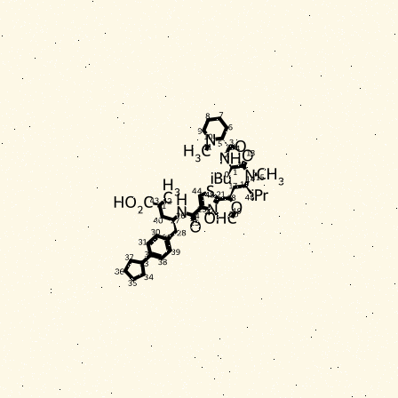 CC[C@H](C)[C@H](NC(=O)[C@H]1CCCCN1C)C(=O)N(C)[C@H](C[C@@H](OC=O)c1nc(C(=O)N[C@@H](Cc2ccc(C3CCCC3)cc2)C[C@H](C)C(=O)O)cs1)C(C)C